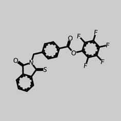 O=C(Oc1c(F)c(F)c(F)c(F)c1F)c1ccc(CN2C(=O)c3ccccc3C2=S)cc1